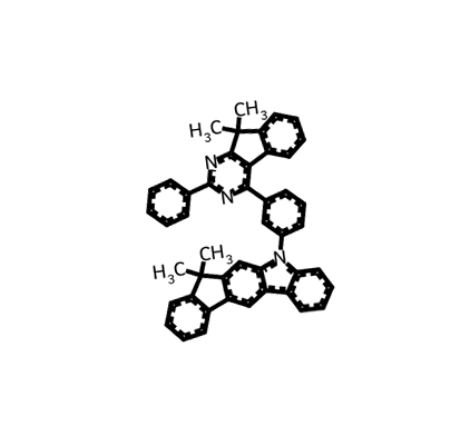 CC1(C)c2ccccc2-c2cc3c4ccccc4n(-c4cccc(-c5nc(-c6ccccc6)nc6c5-c5ccccc5C6(C)C)c4)c3cc21